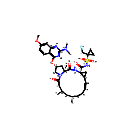 COc1ccc2c(O[C@@H]3C[C@H]4C(=O)N[C@]5(C(=O)NS(=O)(=O)C6(CF)CC6)CC5/C=C\CC[C@@H](C)C[C@@H](C)CC(=O)N4C3)nc(N(C)C)nc2c1